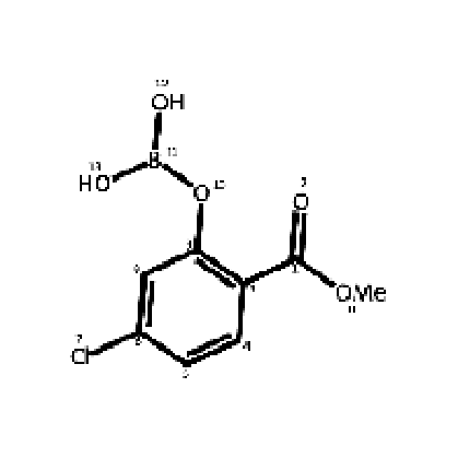 COC(=O)c1ccc(Cl)cc1OB(O)O